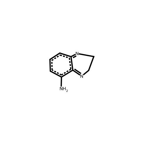 Nc1cccc2c1=NCCN=2